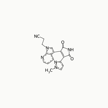 Cn1ccc(C2=C(c3cn(CCC#N)c4ncccc34)C(=O)NC2=O)n1